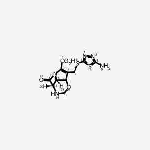 Nc1nnc(SCC2=C(C(=O)O)N3C(=O)[C@H]4NCOC2[C@H]43)s1